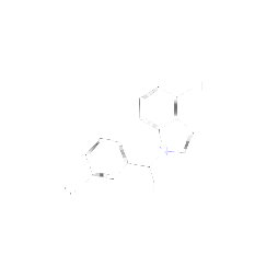 CCC(c1cccc(C#N)c1)n1ccc2c(C(F)(F)F)cccc21